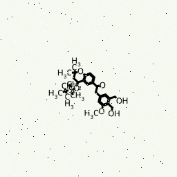 COc1cc(CC(=O)c2ccc3c(c2)C(O[Si](C)(C)C(C)(C)C)CC(C)(C)O3)cc(CO)c1CO